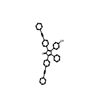 O=C1C(c2ccc(C#Cc3ccccc3)cc2)=C(c2ccccc2)C(c2ccc(O)cc2)=C1c1ccc(C#Cc2ccccc2)cc1